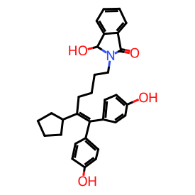 O=C1c2ccccc2C(O)N1CCCCC(=C(c1ccc(O)cc1)c1ccc(O)cc1)C1CCCC1